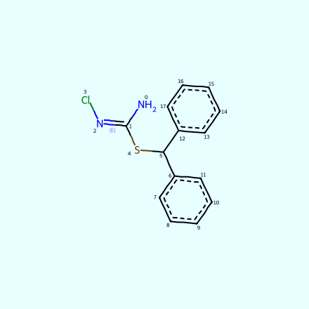 N/C(=N\Cl)SC(c1ccccc1)c1ccccc1